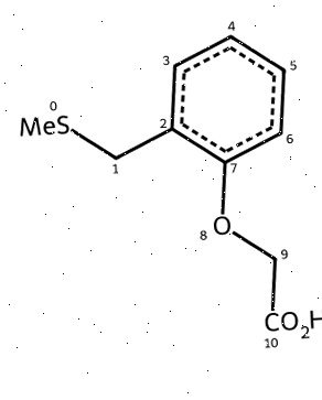 CSCc1ccccc1OCC(=O)O